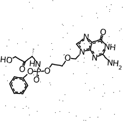 C[C@H](NP(=O)(OCCOCn1cnc2c(=O)[nH]c(N)nc21)Oc1ccccc1)C(=O)CO